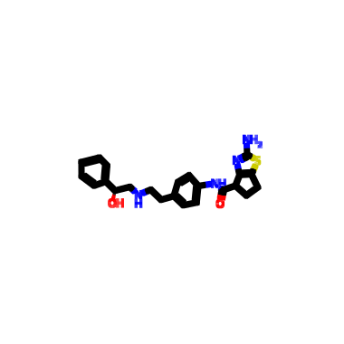 Nc1nc2c(s1)CCC2C(=O)Nc1ccc(CCNC[C@H](O)c2ccccc2)cc1